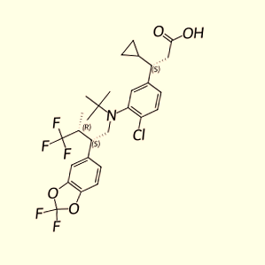 C[C@H]([C@H](CN(c1cc([C@@H](CC(=O)O)C2CC2)ccc1Cl)C(C)(C)C)c1ccc2c(c1)OC(F)(F)O2)C(F)(F)F